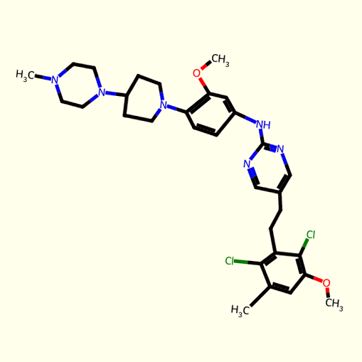 COc1cc(Nc2ncc(CCc3c(Cl)c(C)cc(OC)c3Cl)cn2)ccc1N1CCC(N2CCN(C)CC2)CC1